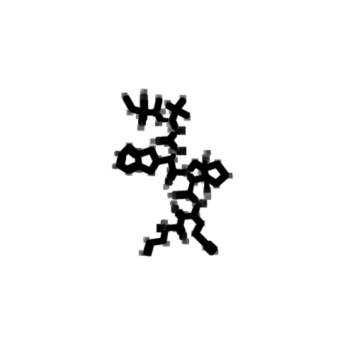 C#CCCC(NC(=O)[C@@H]1[C@H]2CCC[C@H]2CN1C(=O)[C@@H](NC(=O)N[C@H](CN(C)S(=O)(=O)CC)C(C)(C)C)C1Cc2ccccc2C1)C(=O)C(=O)NCC=C